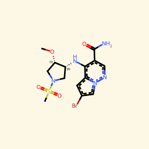 CO[C@H]1CN(S(C)(=O)=O)C[C@H]1Nc1c(C(N)=O)cnn2cc(Br)cc12